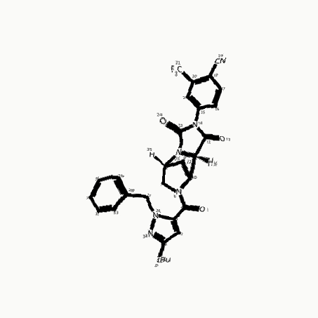 CC(C)(C)c1cc(C(=O)N2C[C@H]3CC2[C@H]2C(=O)N(c4ccc(C#N)c(C(F)(F)F)c4)C(=O)N32)n(Cc2ccccc2)n1